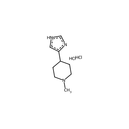 CN1CCC(c2c[nH]cn2)CC1.Cl.Cl